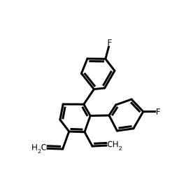 C=Cc1ccc(-c2ccc(F)cc2)c(-c2ccc(F)cc2)c1C=C